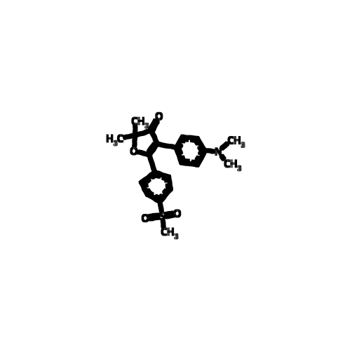 CN(C)c1ccc(C2=C(c3ccc(S(C)(=O)=O)cc3)OC(C)(C)C2=O)cc1